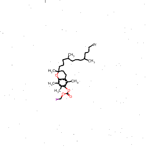 Cc1c(C)c2c(c(C)c1OC(=O)OCI)CCC(C)(CCCC(C)CCCC(C)CCCC(C)C)O2